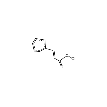 O=C(C=Cc1ccccc1)OCl